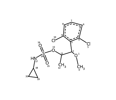 COC(c1c(Cl)cccc1Cl)C(C)OS(=O)(=O)NC1CC1